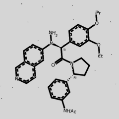 CCOc1cc([C@@H](C(=O)N2CCC[C@@H]2c2cccc(NC(C)=O)c2)N(N)c2ccc3cnccc3c2)ccc1OC(C)C